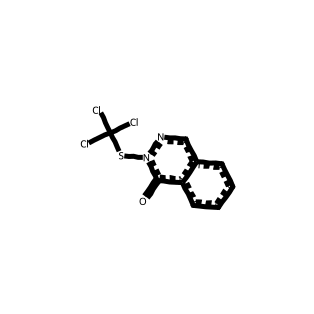 O=c1c2ccccc2cnn1SC(Cl)(Cl)Cl